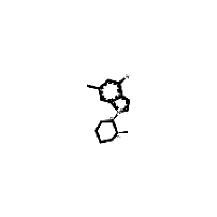 Cc1cc(Br)c2ccn([C@@H]3CCCC[C@@H]3C)c2c1